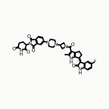 Cc1[nH]c2c(c1C(=O)N1CC(N3CCN(c4ccc5c(c4)C(=O)N(C4CCC(=O)NC4=O)C5=O)CC3)C1)CC/C2=C1/C(=O)Nc2ccc(F)cc21